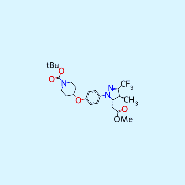 COC(=O)C[C@H]1[C@H](C)C(C(F)(F)F)=NN1c1ccc(OC2CCN(C(=O)OC(C)(C)C)CC2)cc1